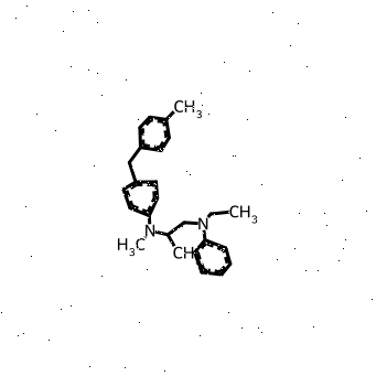 CCN(CC(C)N(C)c1ccc(Cc2ccc(C)cc2)cc1)c1ccccc1